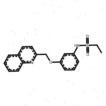 CCS(=O)(=O)Nc1cccc(OCc2ccc3ccccc3n2)c1